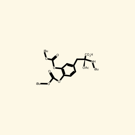 CCC(C)N[C@@](Cc1ccc(OC(=O)OC(C)CC)c(OC(=O)OC(C)CC)c1)(OC(C)=O)C(=O)O